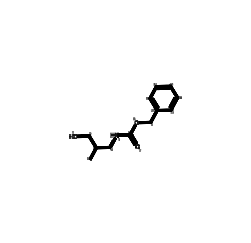 CC(CO)CNC(=O)OCc1ccccc1